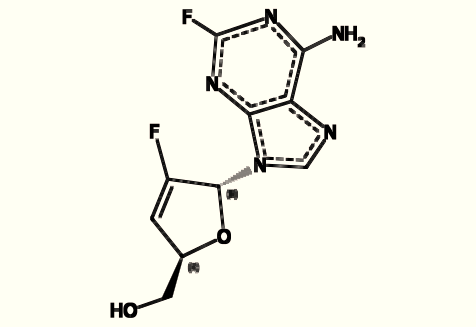 Nc1nc(F)nc2c1ncn2[C@@H]1O[C@@H](CO)C=C1F